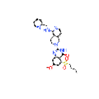 CCCCS(=O)(=O)c1cc(OC)cc2nc(N3CCc4c(ccnc4NCc4ccccn4)C3)[nH]c(=O)c12